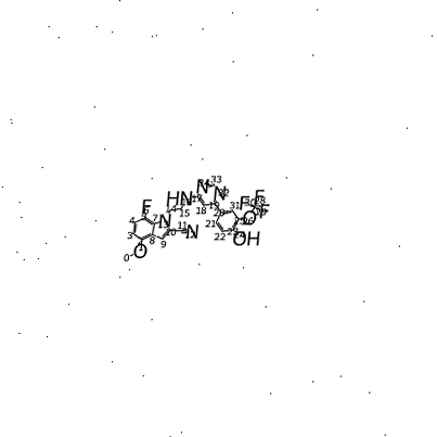 COc1ccc(F)c2c1cc(C#N)n2CCNc1cc(-c2ccc(O)c(OC(F)(F)F)c2)ncn1